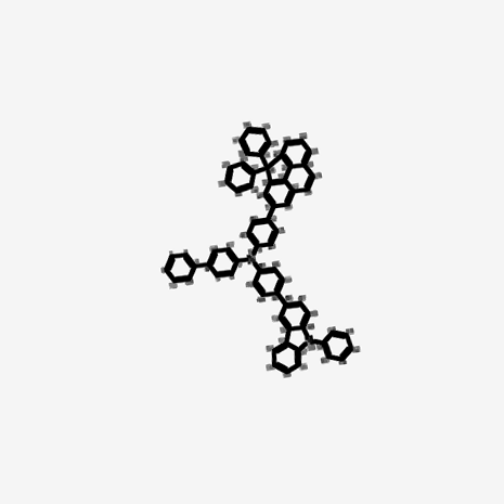 c1ccc(-c2ccc(N(c3ccc(-c4cc5c6c(ccc7cccc(c76)C5(c5ccccc5)c5ccccc5)c4)cc3)c3ccc(-c4ccc5c(c4)c4ccccc4n5-c4ccccc4)cc3)cc2)cc1